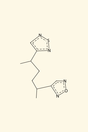 CC(CCC(C)c1cnsn1)c1cnon1